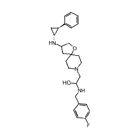 OC(CN1CCC2(CC1)CC(N[C@@H]1C[C@H]1c1ccccc1)CO2)NCc1ccc(F)cc1